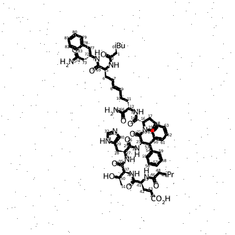 CC[C@H](C)CC(=O)N[C@@H](CC/C=C/CC[C@H](NC(=O)[C@@H]1CCCN1C(=O)[C@@H](NC(=O)[C@H](Cc1cnc[nH]1)NC(=O)[C@@H](NC(=O)[C@H](CCC(=O)O)NC(=O)CC(C)C)[C@@H](C)O)C(c1ccccc1)c1ccccc1)C(N)=O)C(=O)N[C@H](CC(N)=O)Cc1ccccc1